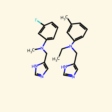 CCN(Cc1cnc[nH]1)c1cccc(C)c1.CN(Cc1cnc[nH]1)c1cccc(F)c1